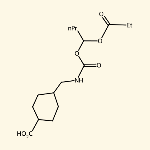 CCCC(OC(=O)CC)OC(=O)NCC1CCC(C(=O)O)CC1